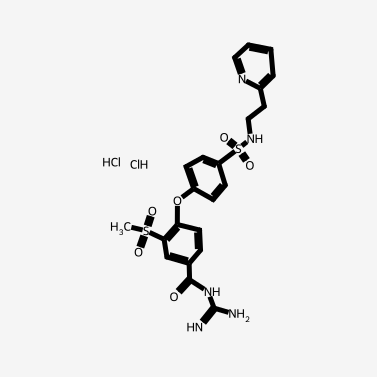 CS(=O)(=O)c1cc(C(=O)NC(=N)N)ccc1Oc1ccc(S(=O)(=O)NCCc2ccccn2)cc1.Cl.Cl